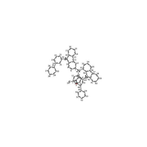 Fc1cccc(N(c2ccc3c(c2)c2ccccc2n3-c2cccc(-c3ccccc3)c2)c2cccc3c4ccccc4n(-c4cccc(-c5ccccc5)c4)c23)c1